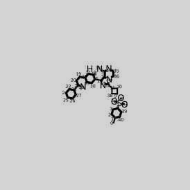 Cc1ccc(S(=O)(=O)OC2CC(c3nc(-c4ccc5ccc(-c6ccccc6)nc5c4)c4c(N)nccn34)C2)cc1